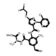 COC(=O)N(C)NC(=O)c1cc(C=N)cc(C)c1NC(=O)c1cc(OCC(F)F)nn1-c1ncccc1Cl